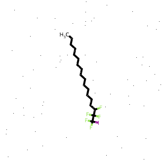 CCCCCCCCCCCCCCCC(F)C(F)(F)C(F)(F)I